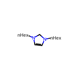 CCCCCCN1C=CN(CCCCCC)C1